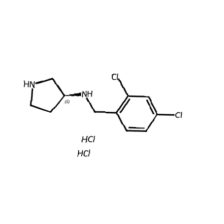 Cl.Cl.Clc1ccc(CN[C@H]2CCNC2)c(Cl)c1